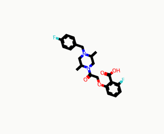 CC1CN(C(=O)COc2cccc(F)c2C(=O)O)C(C)CN1Cc1ccc(F)cc1